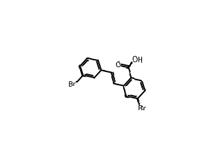 O=C(O)c1ccc(Br)cc1C=Cc1cccc(Br)c1